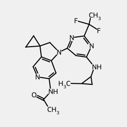 CC(=O)Nc1cc2c(cn1)C1(CC1)CN2c1cc(NC2CC2C)nc(C(C)(F)F)n1